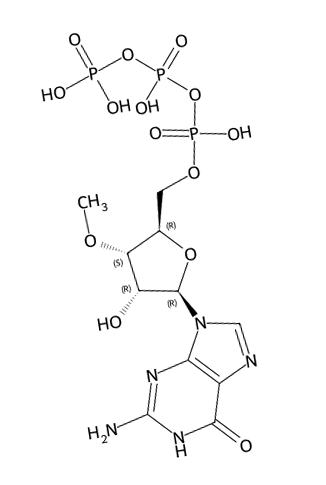 CO[C@H]1[C@@H](O)[C@H](n2cnc3c(=O)[nH]c(N)nc32)O[C@@H]1COP(=O)(O)OP(=O)(O)OP(=O)(O)O